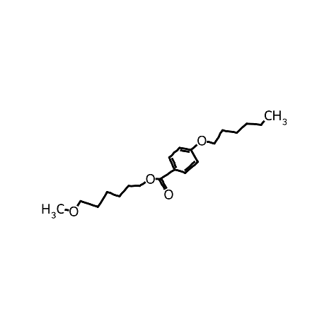 CCCCCCOc1ccc(C(=O)OCCCCCCOC)cc1